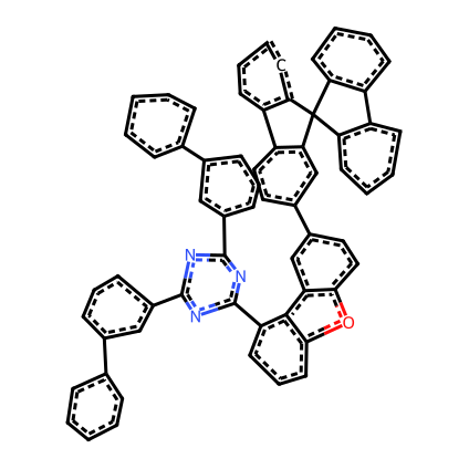 c1ccc(-c2cccc(-c3nc(-c4cccc(-c5ccccc5)c4)nc(-c4cccc5oc6ccc(-c7ccc8c(c7)C7(c9ccccc9-c9ccccc97)c7ccccc7-8)cc6c45)n3)c2)cc1